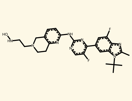 Cc1nc2c(F)cc(-c3nc(Nc4ccc5c(n4)CCN(CCNO)C5)ncc3F)cc2n1C(C)(C)C